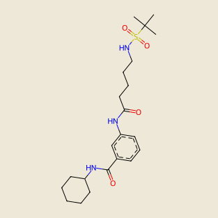 CC(C)(C)S(=O)(=O)NCCCCC(=O)Nc1cccc(C(=O)NC2CCCCC2)c1